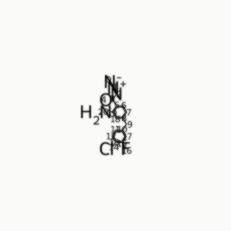 [N-]=[N+]=NC(=O)c1ccc(Cc2ccc(Cl)c(F)c2)cc1N